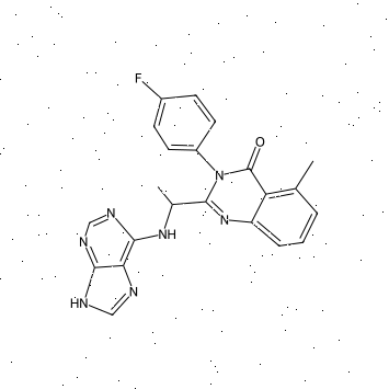 Cc1cccc2nc(C(C)Nc3ncnc4[nH]cnc34)n(-c3ccc(F)cc3)c(=O)c12